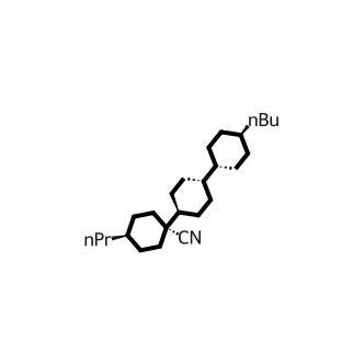 CCCC[C@H]1CC[C@H]([C@H]2CC[C@H]([C@]3(C#N)CC[C@H](CCC)CC3)CC2)CC1